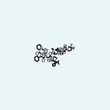 C=C[C@@H]1C[C@]1(NC(=O)[C@@H]1C[C@@]2(CN1C(=O)[C@@H](NC(=O)[C@@H](NC(=O)[C@@H]1CCCCN1C(C)C)C1CCCCC1)C(C)(C)C)C(C)(C)C21CCC1)C(=O)NS(=O)(=O)N1CCC(F)(F)C1